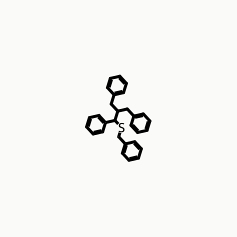 c1ccc(CSC(c2ccccc2)C(Cc2ccccc2)Cc2ccccc2)cc1